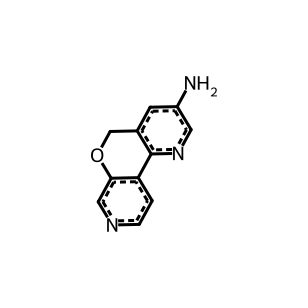 Nc1cnc2c(c1)COc1cnccc1-2